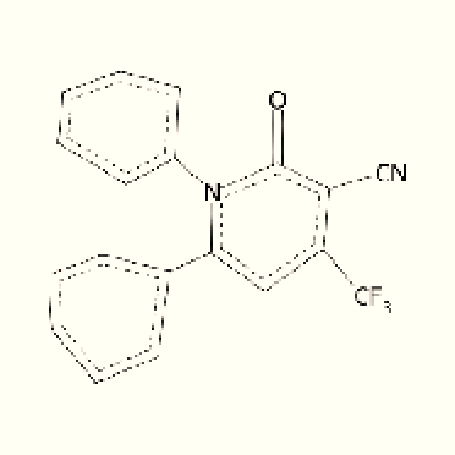 N#Cc1c(C(F)(F)F)cc(-c2ccccc2)n(-c2ccccc2)c1=O